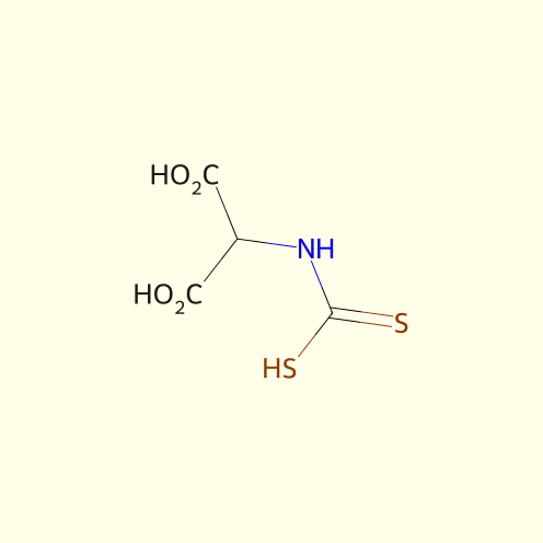 O=C(O)C(NC(=S)S)C(=O)O